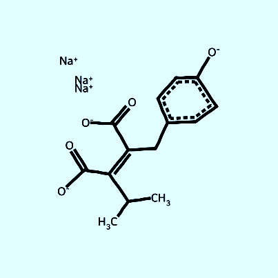 CC(C)/C(C(=O)[O-])=C(\Cc1ccc([O-])cc1)C(=O)[O-].[Na+].[Na+].[Na+]